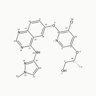 C[C@H](CO)Oc1cnc(Oc2ccc3ncnc(Nc4ccn(C)n4)c3c2)c(Cl)c1